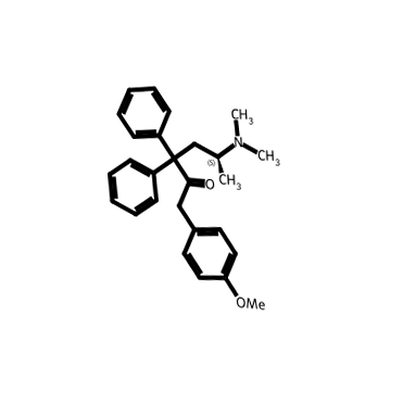 COc1ccc(CC(=O)C(C[C@H](C)N(C)C)(c2ccccc2)c2ccccc2)cc1